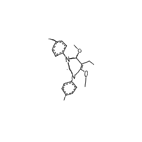 CCC1=C(OC)N(c2ccc(C)cc2)[CH]N(c2ccc(C)cc2)C1OC